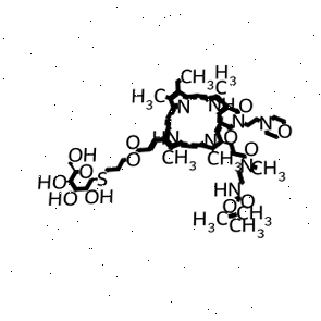 CCC1=C(C)c2cc3[nH]c(cc4nc(c5c6[nH]c(cc1n2)c(C)c6C(=O)N(CCN1CCOCC1)C5=O)[C@@H](CCC(=O)N(C)CCNC(=O)OC(C)(C)C)[C@@H]4C)c(C)c3/C=C/C(=O)OCCCS[C@@H]1O[C@H](CO)[C@@H](O)[C@H](O)[C@H]1O